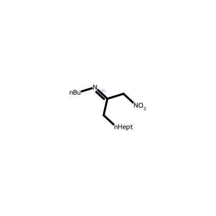 CCCCCCCC/C(C[N+](=O)[O-])=N\CCCC